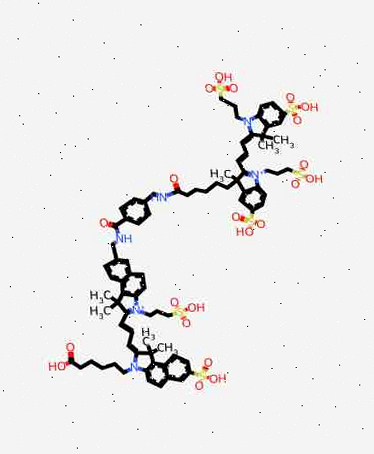 CC1(C)C(/C=C/C=C2/N(CCCCCC(=O)O)c3ccc4cc(S(=O)(=O)O)ccc4c3C2(C)C)=[N+](CCCS(=O)(=O)O)c2ccc3cc(CNC(=O)c4ccc(CNC(=O)CCCCCC5(C)C(/C=C/C=C6/N(CCCS(=O)(=O)O)c7ccc(S(=O)(=O)O)cc7C6(C)C)=[N+](CCCS(=O)(=O)O)c6ccc(S(=O)(=O)O)cc65)cc4)ccc3c21